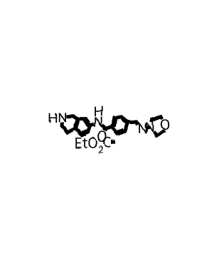 CCOC(C)=O.O=C(Nc1ccc2c(c1)CNCC2)c1ccc(C=NN2CCOCC2)cc1